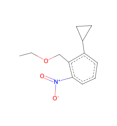 CCOCc1c(C2CC2)cccc1[N+](=O)[O-]